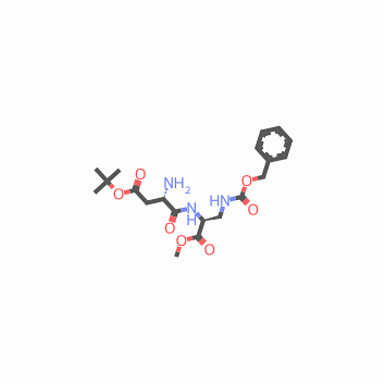 COC(=O)[C@H](CNC(=O)OCc1ccccc1)NC(=O)[C@@H](N)CC(=O)OC(C)(C)C